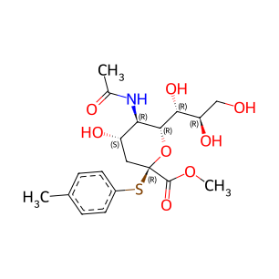 COC(=O)[C@]1(Sc2ccc(C)cc2)C[C@H](O)[C@@H](NC(C)=O)[C@H]([C@H](O)[C@H](O)CO)O1